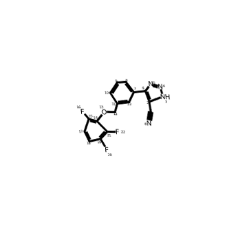 N#Cc1[nH]nnc1-c1cccc(COc2c(F)ccc(F)c2F)c1